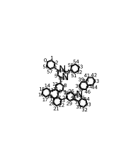 c1ccc(-c2cc(-c3ccc4c(c3)c3ccccc3c3cccc(-c5ccc6c(c5)c5ccccc5n6-c5ccc6ccccc6c5)c34)nc(-c3ccccc3)n2)cc1